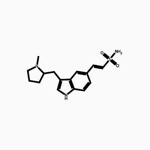 CN1CCCC1Cc1c[nH]c2ccc(C=CS(N)(=O)=O)cc12